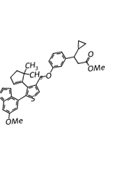 COC(=O)CC(c1cccc(OCc2csc(-c3cc(OC)cc4sccc34)c2C2=CCCC2(C)C)c1)C1CC1